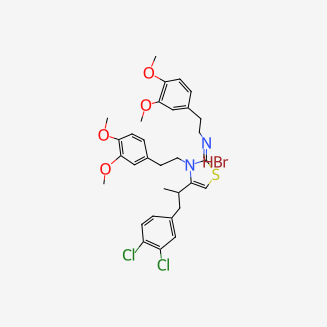 Br.COc1ccc(CCN=c2scc(C(C)Cc3ccc(Cl)c(Cl)c3)n2CCc2ccc(OC)c(OC)c2)cc1OC